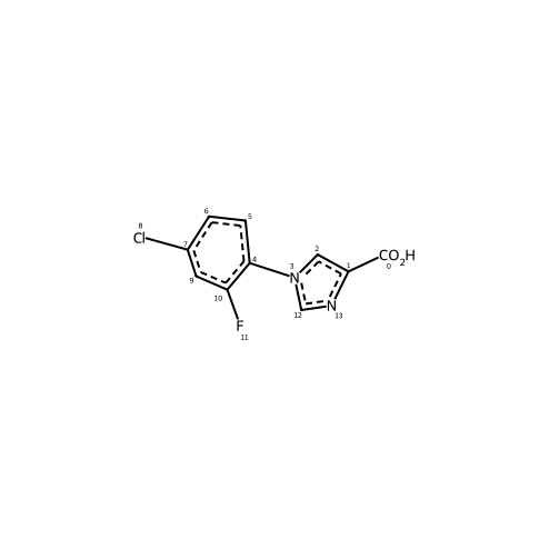 O=C(O)c1cn(-c2ccc(Cl)cc2F)cn1